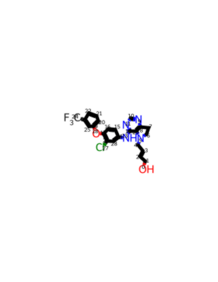 OC/C=C/CN1CCc2ncnc(Nc3ccc(Oc4cccc(C(F)(F)F)c4)c(Cl)c3)c21